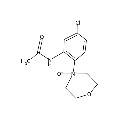 CC(=O)Nc1cc(Cl)ccc1[N+]1([O-])CCOCC1